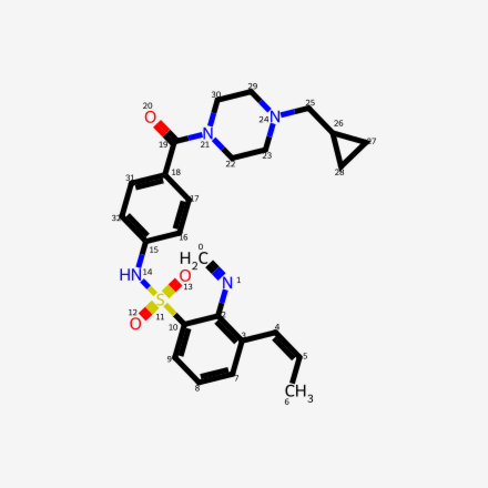 C=Nc1c(/C=C\C)cccc1S(=O)(=O)Nc1ccc(C(=O)N2CCN(CC3CC3)CC2)cc1